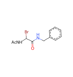 CC(=O)NC(Br)C(=O)NCc1ccccc1